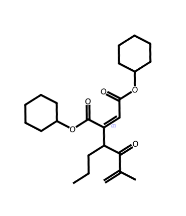 C=C(C)C(=O)C(CCC)/C(=C/C(=O)OC1CCCCC1)C(=O)OC1CCCCC1